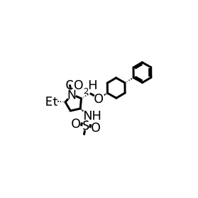 CC[C@H]1C[C@@H](NS(C)(=O)=O)[C@@H](CO[C@H]2CC[C@@H](c3ccccc3)CC2)N1C(=O)O